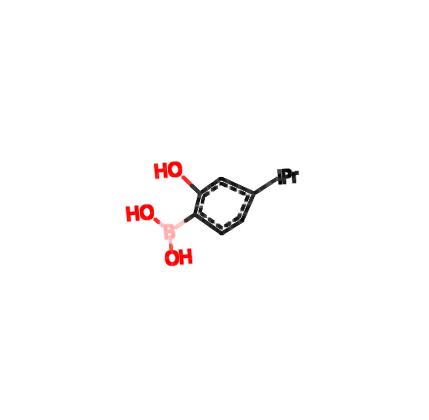 CC(C)c1ccc(B(O)O)c(O)c1